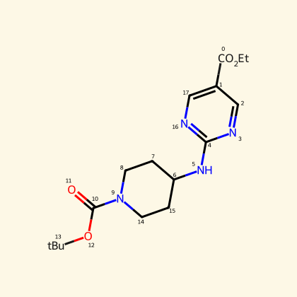 CCOC(=O)c1cnc(NC2CCN(C(=O)OC(C)(C)C)CC2)nc1